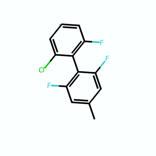 Cc1cc(F)c(-c2c(F)c[c]cc2Cl)c(F)c1